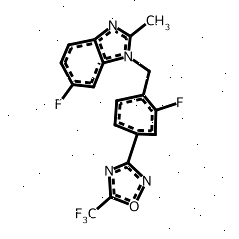 Cc1nc2ccc(F)cc2n1Cc1ccc(-c2noc(C(F)(F)F)n2)cc1F